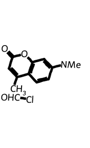 CNc1ccc2c(C)cc(=O)oc2c1.O=CCl